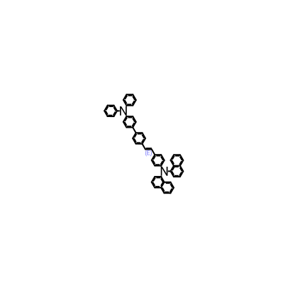 C(=C\c1ccc(N(c2cccc3ccccc23)c2cccc3ccccc23)cc1)/c1ccc(-c2ccc(N(c3ccccc3)c3ccccc3)cc2)cc1